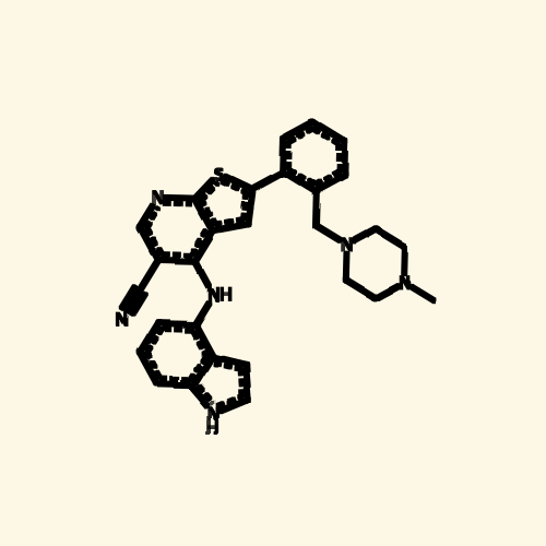 CN1CCN(Cc2ccccc2-c2cc3c(Nc4cccc5[nH]ccc45)c(C#N)cnc3s2)CC1